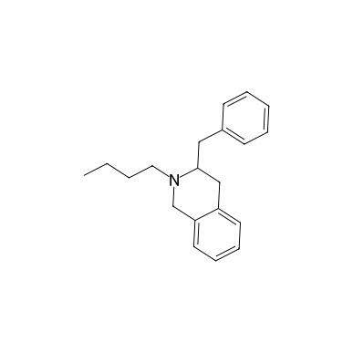 CCCCN1Cc2ccccc2CC1Cc1ccccc1